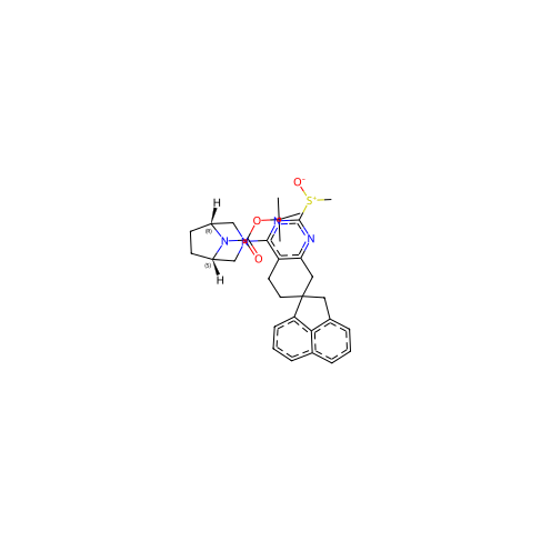 C[S+]([O-])c1nc2c(c(N3C[C@H]4CC[C@@H](C3)N4C(=O)OC(C)(C)C)n1)CCC1(C2)Cc2cccc3cccc1c23